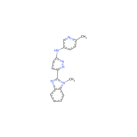 Cc1ccc(Nc2ccc(-c3nc4ccccc4n3C)nn2)cn1